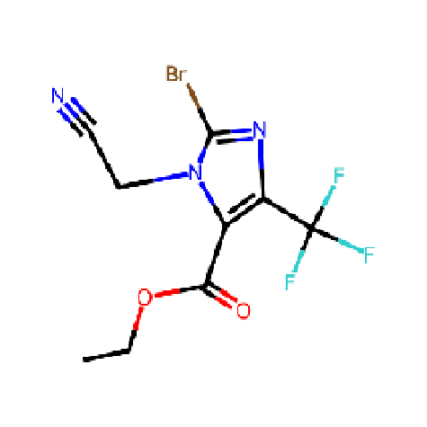 CCOC(=O)c1c(C(F)(F)F)nc(Br)n1CC#N